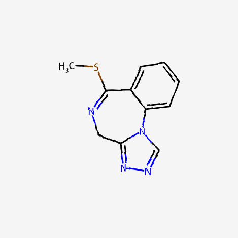 CSC1=NCc2nncn2-c2ccccc21